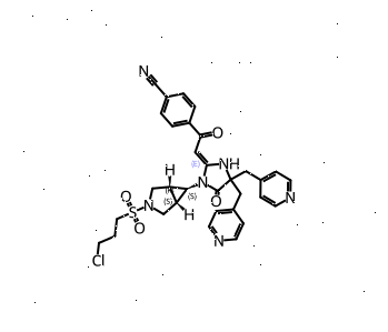 N#Cc1ccc(C(=O)/C=C2\NC(Cc3ccncc3)(Cc3ccncc3)C(=O)N2[C@H]2[C@@H]3CN(S(=O)(=O)CCCCl)C[C@@H]32)cc1